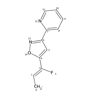 [CH2]/C=C(\F)c1cc(-c2ccccn2)no1